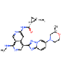 CNc1ncc(-c2nc3ccc(N4CCO[C@H](C)C4)cn3n2)c2cc(NC(=O)[C@@H]3C[C@@H]3C)ncc12